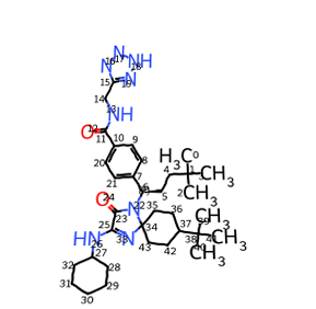 CC(C)(C)CC[C@H](c1ccc(C(=O)NCc2nn[nH]n2)cc1)N1C(=O)C(NC2CCCCC2)=NC12CCC(C(C)(C)C)CC2